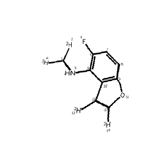 [2H]C([2H])Nc1c(F)ccc2c1C([2H])C([2H])O2